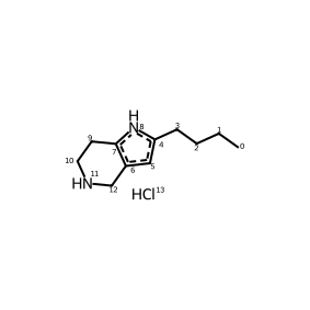 CCCCc1cc2c([nH]1)CCNC2.Cl